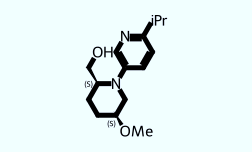 CO[C@H]1CC[C@@H](CO)N(c2ccc(C(C)C)nc2)C1